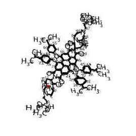 CO[SiH](CCN1CCN(C(=O)C(CC(F)(F)F)N2C(=O)c3cc(Oc4ccc(C(C)C)cc4)c4c5c(Oc6ccc(C(C)C)cc6)cc6c7c(cc(Oc8ccc(C(C)C)cc8)c(c8c(Oc9ccc(C(C)C)cc9)cc(c3c48)C2=O)c75)C(=O)N(C(CC(F)(F)F)C(=O)N2CCN(CC[Si](OC)(OC)OC)CC2)C6=O)CC1)OC